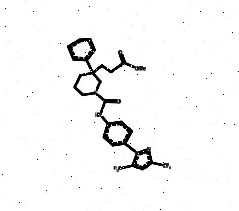 COC(=O)CCC1(c2ccccc2)CCCN(C(=O)Nc2ccc(-n3nc(C(F)(F)F)cc3C(F)(F)F)cc2)C1